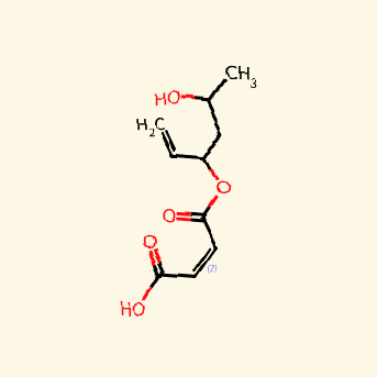 C=CC(CC(C)O)OC(=O)/C=C\C(=O)O